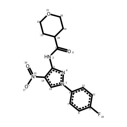 O=C(Nc1nn(-c2ccc(F)cc2)cc1[N+](=O)[O-])C1CCOCC1